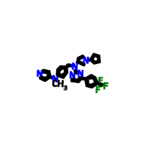 CN(c1ccncc1)c1ccc(CN(c2nccc(-c3ccc(C(F)(F)F)cc3)n2)C2CCN(C3CCCC3)C2)cc1